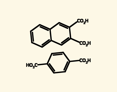 O=C(O)c1cc2ccccc2cc1C(=O)O.O=C(O)c1ccc(C(=O)O)cc1